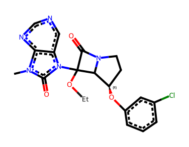 CCOC1(n2c(=O)n(C)c3ncncc32)C(=O)N2CC[C@@H](Oc3cccc(Cl)c3)C21